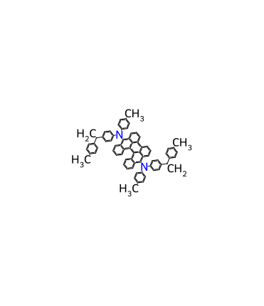 C=C(c1ccc(C)cc1)c1ccc(N(c2ccc(C)cc2)c2c3ccccc3c3c4c2cccc4c2cccc4c(N(c5ccc(C)cc5)c5ccc(C(=C)c6ccc(C)cc6)cc5)c5ccccc5c3c42)cc1